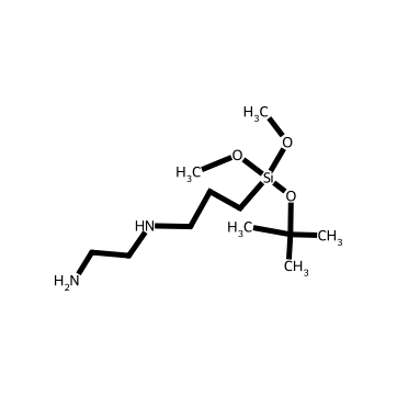 CO[Si](CCCNCCN)(OC)OC(C)(C)C